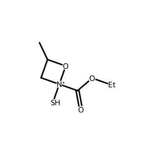 CCOC(=O)[N+]1(S)CC(C)O1